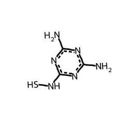 Nc1nc(N)nc(NS)n1